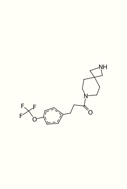 O=C(CCc1ccc(OC(F)(F)F)cc1)N1CCC2(CC1)CNC2